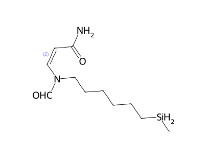 C[SiH2]CCCCCCN(C=O)/C=C\C(N)=O